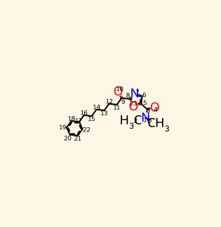 CN(C)C(=O)c1cnc(C(=O)CCCCCCc2ccccc2)o1